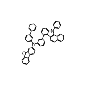 C1=CC(c2cccc(N(c3cccc(-c4cccc5c4c4ccc6ccccc6c4n5-c4ccccc4)c3)c3ccc4c(c3)oc3ccccc34)c2)=CCC1